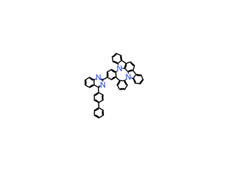 c1ccc(-c2ccc(-c3nc(-c4ccc5c(c4)c4ccccc4n4c6ccccc6c6ccc7c8ccccc8n5c7c64)nc4ccccc34)cc2)cc1